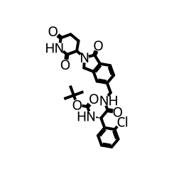 CC(C)(C)OC(=O)N[C@H](C(=O)NCc1ccc2c(c1)CN(C1CCC(=O)NC1=O)C2=O)c1ccccc1Cl